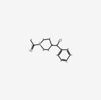 CC(=O)N1CCC(C(Cl)c2ccccc2)CC1